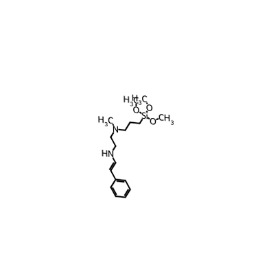 CO[Si](CCCN(C)CCNC=Cc1ccccc1)(OC)OC